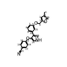 Cc1cc(COc2cccc(-c3n[nH]cc3Oc3ccc(C#N)cc3)c2)on1